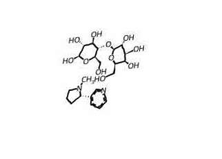 CN1CCC[C@H]1c1cccnc1.OC[C@H]1O[C@@H](O[C@H]2[C@H](O)[C@@H](O)[C@H](O)O[C@@H]2CO)[C@H](O)[C@@H](O)[C@H]1O